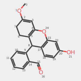 COC1=CC2=C(CC1)C(c1ccccc1C=O)c1ccc(O)cc1O2